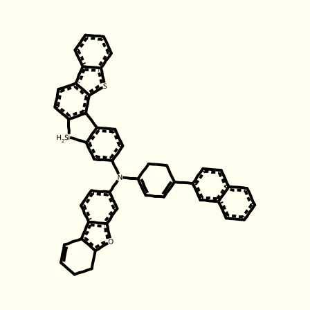 C1=Cc2c(oc3cc(N(C4=CC=C(c5ccc6ccccc6c5)CC4)c4ccc5c(c4)[SiH2]c4ccc6c(sc7ccccc76)c4-5)ccc23)CC1